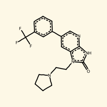 O=c1[nH]c2ncc(-c3cccc(C(F)(F)F)c3)cc2n1CCN1CCCC1